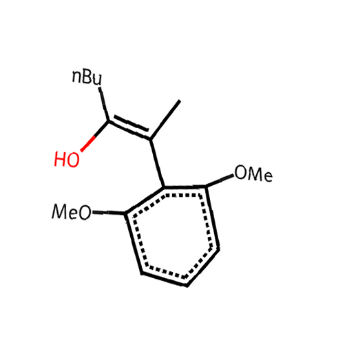 CCCCC(O)=C(C)c1c(OC)cccc1OC